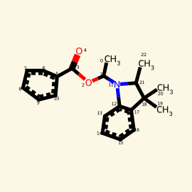 CC(OC(=O)c1ccccc1)N1c2ccccc2C(C)(C)C1C